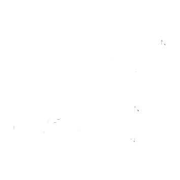 Cc1nccc2c(Nc3cc(-c4ccc(C(F)(F)F)cc4)ccn3)cccc12